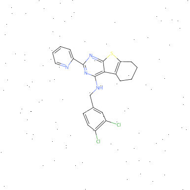 Clc1ccc(CNc2nc(-c3ccccn3)nc3sc4c(c23)CCCC4)cc1Cl